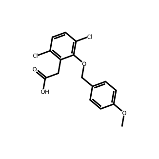 COc1ccc(COc2c(Cl)ccc(Cl)c2CC(=O)O)cc1